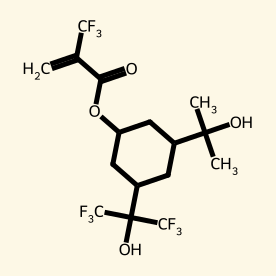 C=C(C(=O)OC1CC(C(C)(C)O)CC(C(O)(C(F)(F)F)C(F)(F)F)C1)C(F)(F)F